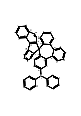 c1ccc(N(c2ccccc2)c2ccc3c(c2)-c2ccccc2-c2ccccc2C32c3ccccc3-c3c2ccc2ccccc32)cc1